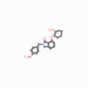 O=C1c2c(cccc2O[C@@H]2CCCC[C@H]2O)CN1Cc1ccc(OC(F)(F)F)cc1